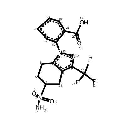 NS(=O)(=O)C1CCc2c(c(C(F)(F)F)nn2-c2ccccc2C(=O)O)C1